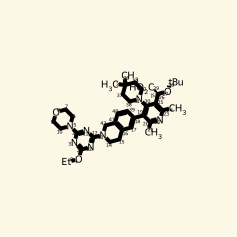 CCOc1nc(N2CCOCC2)nc(N2CCc3cc(-c4c(C)nc(C)c([C@H](OC(C)(C)C)C(=O)O)c4N4CCC(C)(C)CC4)ccc3C2)n1